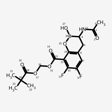 CC(=O)NC1Cc2cc(F)c(F)c(C(=O)OCOC(=O)C(C)(C)C)c2OB1O